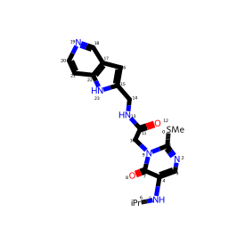 CSc1ncc(NC(C)C)c(=O)n1CC(=O)NCc1cc2cnccc2[nH]1